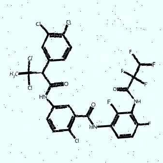 CC(Cl)(Cl)[C@H](C(=O)Nc1ccc(Cl)c(C(=O)Nc2ccc(F)c(NC(=O)C(F)(F)C(F)F)c2F)c1)c1ccc(Cl)c(Cl)c1